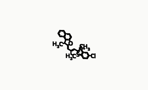 CCC(=Cc1sc2ccc(Cl)cc2[n+]1C)C=C1Oc2ccc3ccccc3c2C1C